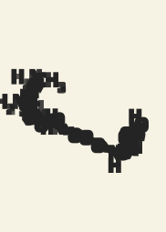 CC1(N)CCN(c2cnc(Sc3cccc(NC(=O)CCC(=O)NCCCOCCOCCOCCCNc4ccc5cnn(C6CCC(=O)NC6=O)c(=O)c5c4)c3Cl)c(N)n2)CC1